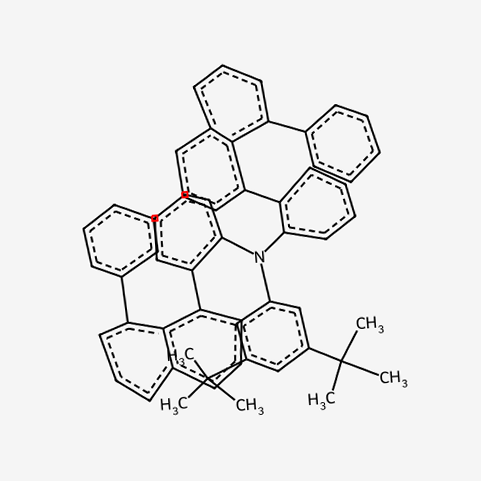 CC(C)(C)c1cc(N(c2ccccc2-c2cccc3cccc(-c4ccccc4)c23)c2ccccc2-c2cccc3cccc(-c4ccccc4)c23)cc(C(C)(C)C)c1